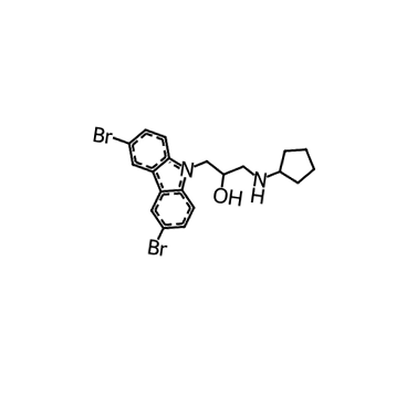 OC(CNC1CCCC1)Cn1c2ccc(Br)cc2c2cc(Br)ccc21